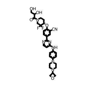 N#Cc1cc(-c2nccc(Nc3ccc(N4CCN(C5COC5)CC4)cc3)n2)ccc1O[C@H]1CCN(C(=O)C(O)CO)CC1(F)F